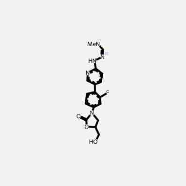 CN/C=N\Nc1ccc(-c2ccc(N3CC(CO)OC3=O)cc2F)cn1